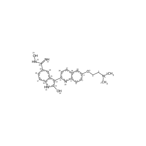 CN(C)CCOc1ccc2nc(-c3c(O)[nH]c4ccc(C(=N)NO)cc34)ccc2c1